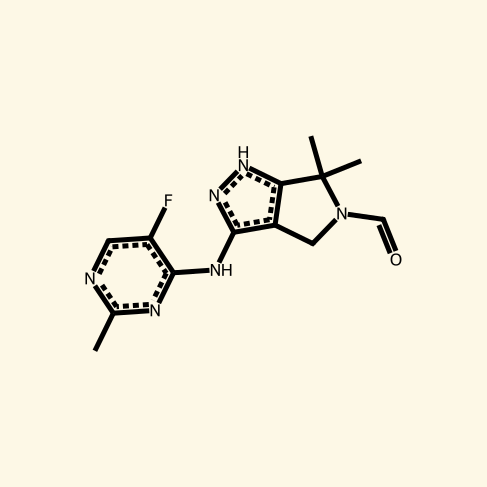 Cc1ncc(F)c(Nc2n[nH]c3c2CN(C=O)C3(C)C)n1